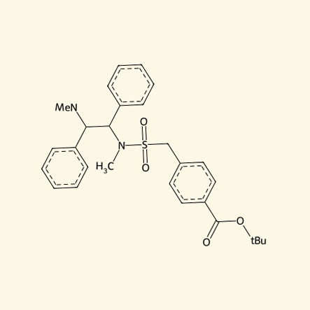 CNC(c1ccccc1)C(c1ccccc1)N(C)S(=O)(=O)Cc1ccc(C(=O)OC(C)(C)C)cc1